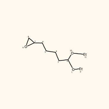 CCOC(CCCCC1CO1)OCC